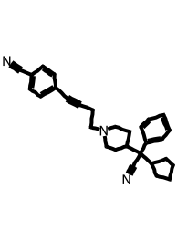 N#Cc1ccc(C#CCCN2CCC(C(C#N)(c3ccccc3)C3CCCC3)CC2)cc1